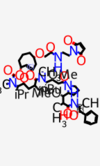 CC[C@H](C)C(C(CC(=O)N1CCCC1C(OC)C(C)C(=O)N[C@H](C)[C@@H](O)c1ccccc1)OC)N(C)C(=O)C(CC(=O)C(C(C)C)N(C)C(=O)OC1/C=C/CC(OCC(=O)NCCN2C(=O)C=CC2=O)CCC1)C(C)C